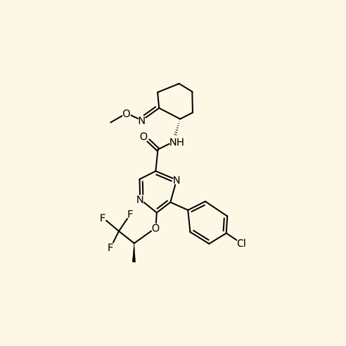 CON=C1CCCC[C@@H]1NC(=O)c1cnc(O[C@@H](C)C(F)(F)F)c(-c2ccc(Cl)cc2)n1